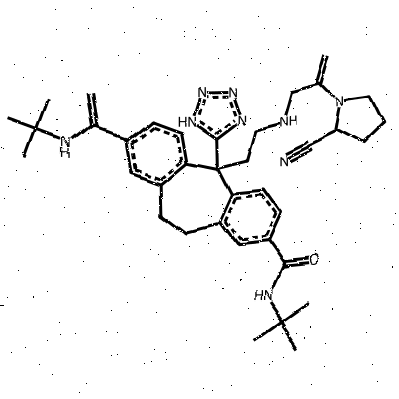 C=C(NC(C)(C)C)c1ccc2c(c1)CCc1cc(C(=O)NC(C)(C)C)ccc1C2(CCNCC(=C)N1CCCC1C#N)c1nnn[nH]1